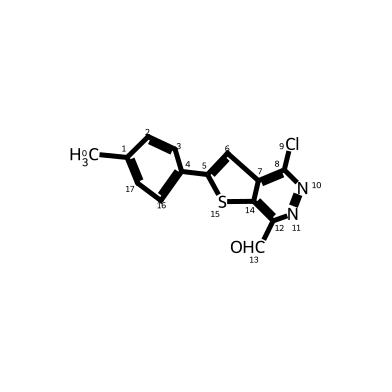 Cc1ccc(-c2cc3c(Cl)nnc(C=O)c3s2)cc1